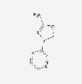 NC1=NC(c2cccnc2)CO1